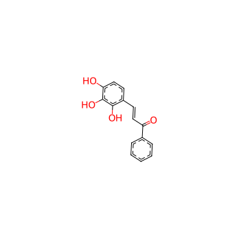 O=C(C=Cc1ccc(O)c(O)c1O)c1ccccc1